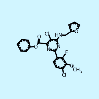 COc1c(Cl)ccc(-c2nc(NCc3ccco3)c(Cl)c(C(=O)Oc3ccccc3)n2)c1F